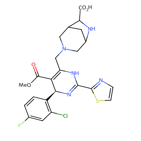 COC(=O)C1=C(CN2CC3CC(C2)C(C(=O)O)N3)NC(c2nccs2)=N[C@H]1c1ccc(F)cc1Cl